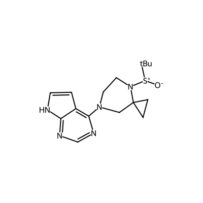 CC(C)(C)[S+]([O-])N1CCN(c2ncnc3[nH]ccc23)CC12CC2